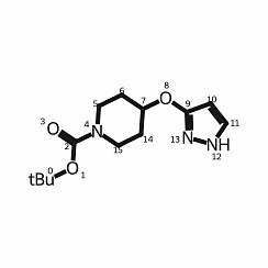 CC(C)(C)OC(=O)N1CCC(Oc2cc[nH]n2)CC1